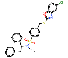 CN(C(Cc1ccccc1)c1ccccc1)S(=O)(=O)c1ccc(CSc2nc3cc(Cl)ccc3o2)cc1